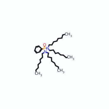 CCCCCCCCN(CCCCCCCC)P(=O)(c1ccccc1)N(CCCCCCCC)CCCCCCCC